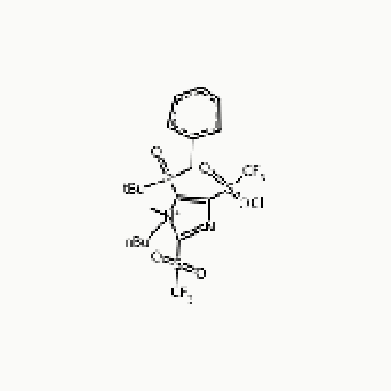 CCCC[N+]1(C)C(S(=O)(=O)C(F)(F)F)=NC(S(=O)(=O)C(F)(F)F)=C1P(=O)(Cc1ccccc1)C(C)(C)C.[Cl-]